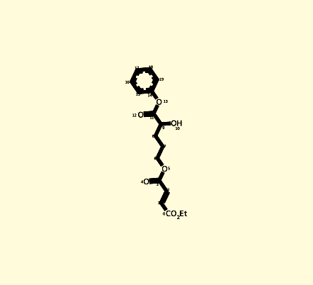 CCOC(=O)C=CC(=O)OCCCC(O)C(=O)Oc1ccccc1